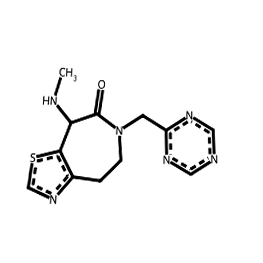 CNC1C(=O)N(Cc2ncncn2)CCc2ncsc21